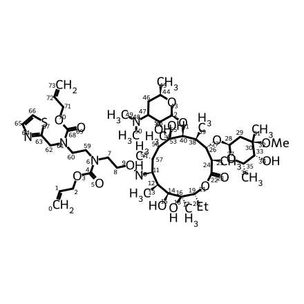 C=CCOC(=O)N(CCON[C@@H]1[C@H](C)[C@H](O)[C@](C)(O)[C@@H](CC)OC(=O)[C@H](C)[C@@H](O[C@H]2C[C@@](C)(OC)[C@H](O)[C@H](C)O2)[C@H](C)[C@H](O[C@@H]2O[C@H](C)CC(N(C)C)[C@@H]2O)[C@](C)(O)C[C@H]1C)CCN(Cc1nccs1)C(=O)OCC=C